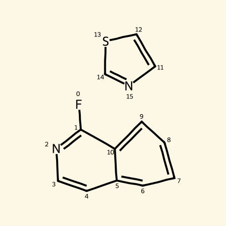 Fc1nccc2ccccc12.c1cscn1